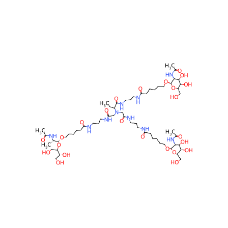 CCC(C(=O)NCCCNC(=O)CCCCCO[C@@H]1OC(CO)[C@H](O)C(O)[C@@H]1NC(C)=O)N(CC(=O)NCCCNC(=O)CCCCCO[C@H](OC(CO)[C@H](O)CO)[C@H](C)NC(C)=O)CC(=O)NCCCNC(=O)CCCCCO[C@@H]1OC(CO)[C@H](O)C(O)[C@@H]1NC(C)=O